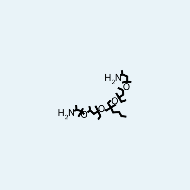 CCCCC(CC)(COC(C)(CC)CC(C)OC(C)(C)CC(C)N)COC(C)(CC)CC(C)OC(C)(C)C(C)N